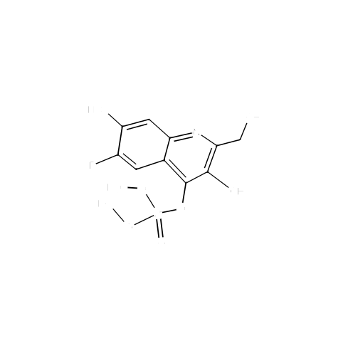 CCc1nc2cc(C)c(F)cc2c(OP(=O)(OC)OC)c1C